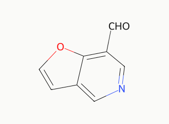 O=Cc1cncc2ccoc12